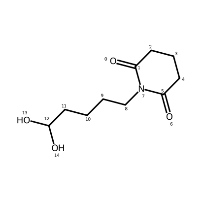 O=C1CCCC(=O)N1CCCCC(O)O